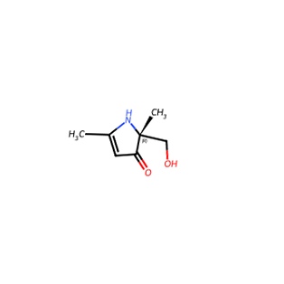 CC1=CC(=O)[C@@](C)(CO)N1